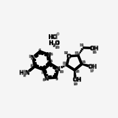 Cl.Nc1ncnc2c1ncn2[C@@H]1O[C@H](CO)[C@@H](O)[C@H]1O.O